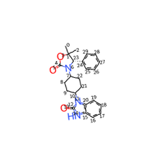 CC1(C)OC(=O)N(C2CCC(n3c(=O)[nH]c4ccccc43)CC2)[C@H]1c1ccccc1